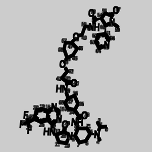 CC(C)N(C)[C@@H]1CC[C@H](N2CC[C@H](Nc3ncnc4ccc(C(F)(F)F)cc34)C2=O)[C@H](NC(=O)C2CCC(NC(=O)CCOC3CCC(OCCNC(=O)[C@H]4CC(=O)N(C)[C@@H]4c4cccnc4)CC3)CC2)C1